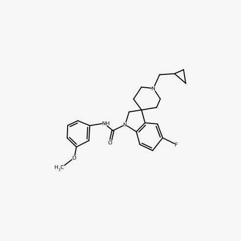 COc1cccc(NC(=O)N2CC3(CCN(CC4CC4)CC3)c3cc(F)ccc32)c1